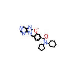 COc1cc(C(=O)N(C2CCCCC2)C2CCCC2)ccc1Cn1cnc2cncnc21